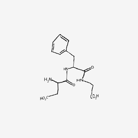 NC(CC(=O)O)C(=O)NC(Cc1ccccc1)C(=O)NCC(=O)O